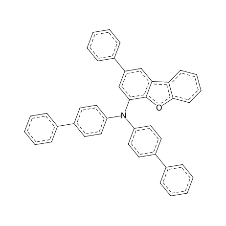 c1ccc(-c2ccc(N(c3ccc(-c4ccccc4)cc3)c3cc(-c4ccccc4)cc4c3oc3ccccc34)cc2)cc1